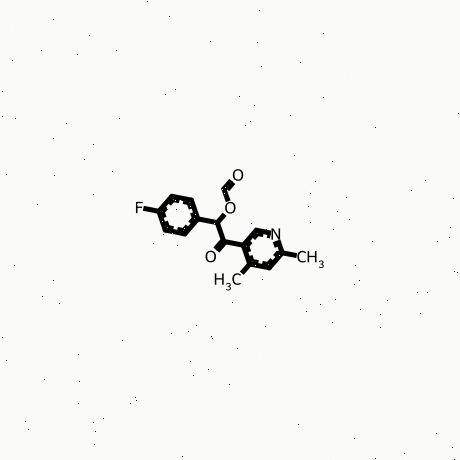 Cc1cc(C)c(C(=O)C(OC=O)c2ccc(F)cc2)cn1